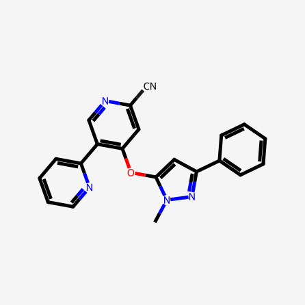 Cn1nc(-c2ccccc2)cc1Oc1cc(C#N)ncc1-c1ccccn1